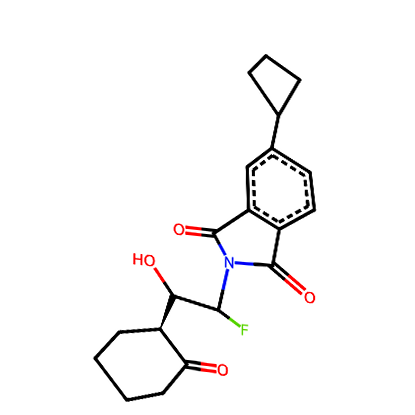 O=C1CCCC[C@H]1C(O)C(F)N1C(=O)c2ccc(C3CCC3)cc2C1=O